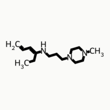 C=C/C=C(\CC)NCCCN1CCN(C)CC1